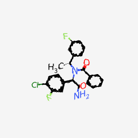 C[C@H](c1cccc(F)c1)N(C(=O)c1ccccc1)[C@@H](C(N)=O)c1ccc(Cl)c(F)c1